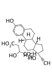 C#C[C@]1(O)CC[C@H]2[C@@H]3CCc4cc(O)ccc4[C@H]3CC[C@@]21C.O=C(O)CC(O)C(=O)O